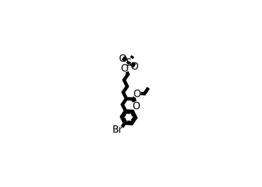 CCOC(=O)C(CCCCOS(C)(=O)=O)Cc1cccc(Br)c1